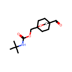 CC(C)(C)NC(=O)OCC12CCC(C=O)(CC1)CO2